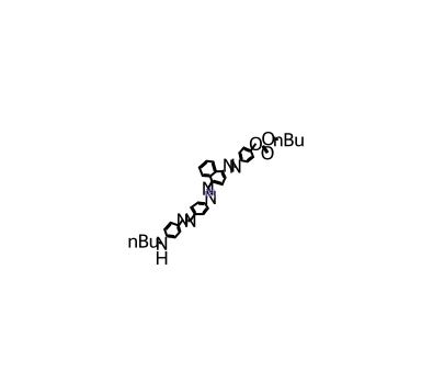 CCCCNc1ccc(N=Nc2ccc(/N=N/c3ccc(N=Nc4ccc(OC(=O)OCCCC)cc4)c4ccccc34)cc2)cc1